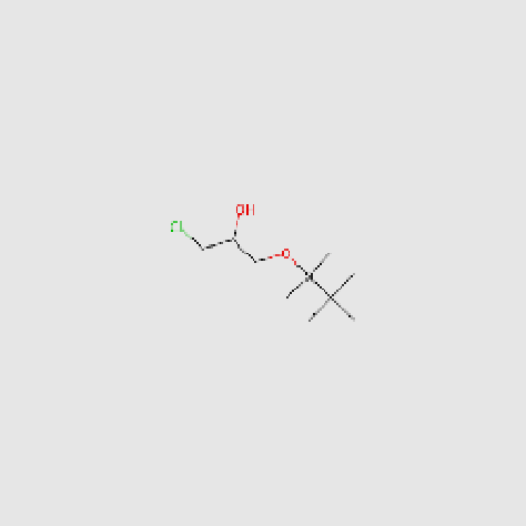 CC(C)(C)[Si](C)(C)OCC(O)CCl